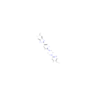 CC1C=c2nc(-c3ccc(N4CCN(c5ccc(C#N)cn5)CC4)nc3)[nH]c2=CC1